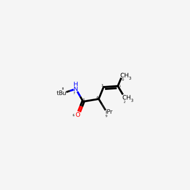 CC(C)=CC(C(=O)NC(C)(C)C)C(C)C